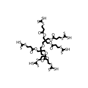 O=C(CCSC(=S)S)OCC(COCC(COC(=O)CCSC(=S)S)(COC(=O)CCSC(=S)S)COC(=O)CCSC(=S)S)(COC(=O)CCSC(=S)S)COC(=O)CCSC(=S)S